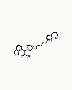 O=C(O)C(c1cccc2c1CCO2)N1CC[C@@H](OCCCCc2ccc3c(n2)NCCC3)C1